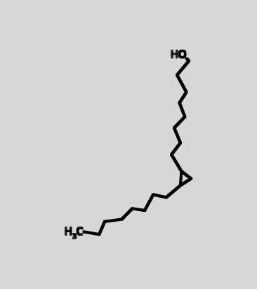 CCCCCCCCC1CC1CCCCCCCCO